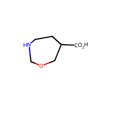 O=C(O)C1CCNCOC1